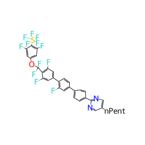 CCCCCc1cnc(-c2ccc(-c3ccc(-c4cc(F)c(C(F)(F)Oc5cc(F)c(S(F)(F)(F)(F)F)c(F)c5)c(F)c4)c(F)c3)cc2)nc1